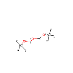 C[Si](C)(C)OCOCO[Si](C)(C)C